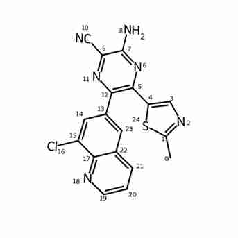 Cc1ncc(-c2nc(N)c(C#N)nc2-c2cc(Cl)c3ncccc3c2)s1